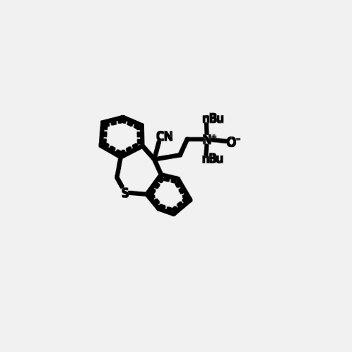 CCCC[N+]([O-])(CCCC)CCC1(C#N)c2ccccc2CSc2ccccc21